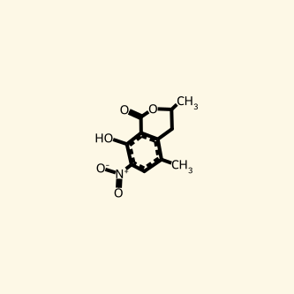 Cc1cc([N+](=O)[O-])c(O)c2c1CC(C)OC2=O